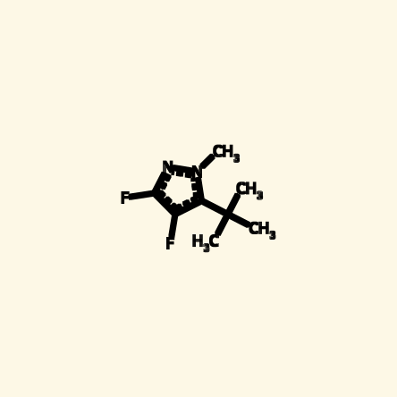 Cn1nc(F)c(F)c1C(C)(C)C